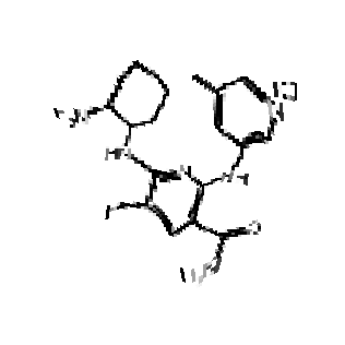 Cc1cncc(Nc2nc(N[C@@H]3CCCC[C@@H]3N)c(F)cc2C(N)=O)c1.Cl